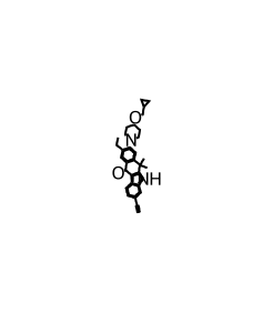 C#Cc1ccc2c3c([nH]c2c1)C(C)(C)c1cc(N2CCC(OCC4CC4)CC2)c(CC)cc1C3=O